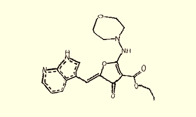 CCOC(=O)C1=C(NN2CCOCC2)OC(=Cc2c[nH]c3ncccc23)C1=O